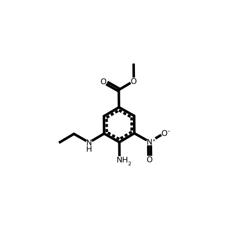 CCNc1cc(C(=O)OC)cc([N+](=O)[O-])c1N